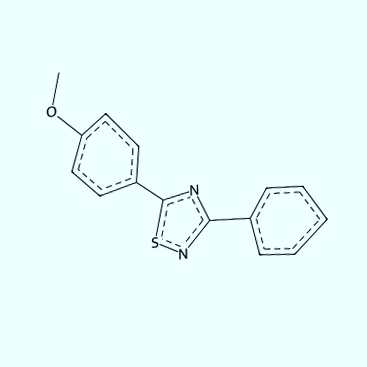 COc1ccc(-c2nc(-c3ccccc3)ns2)cc1